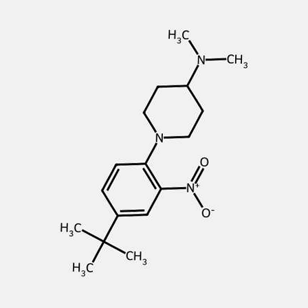 CN(C)C1CCN(c2ccc(C(C)(C)C)cc2[N+](=O)[O-])CC1